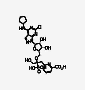 O=C(O)c1cccc(C[C@@](CO)(OC[C@H]2O[C@@H](n3ncc4c(NC5CCCC5)nc(Cl)nc43)[C@H](O)[C@@H]2O)P(=O)(O)O)n1